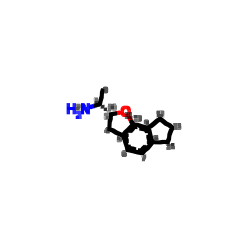 CC(N)[C@H]1Cc2ccc3c(c2O1)CCC3